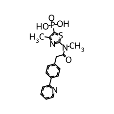 Cc1nc(N(C)C(=O)Cc2ccc(-c3ccccn3)cc2)sc1P(=O)(O)O